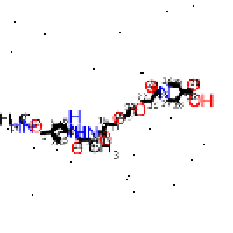 CNOCc1ccc(NC(=O)[C@@H](C)NC(=O)CCOCCOCCC(=O)N2CCC(C(=O)O)CC2)cc1